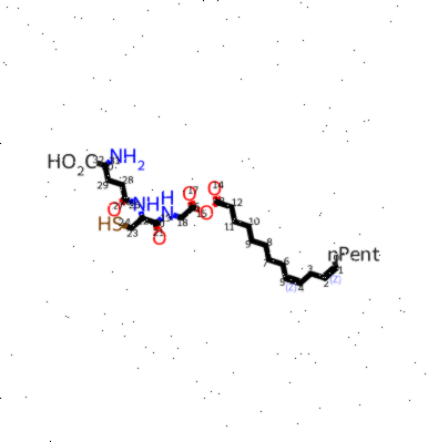 CCCCC/C=C\C/C=C\CCCCCCCC(=O)OC(=O)CNC(=O)C(CS)NC(=O)CCC(N)C(=O)O